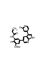 C=CC(=O)Nc1cc(-c2cnc3[nH]cc(-c4ccnc(F)c4)c3c2)cc(OC)c1F